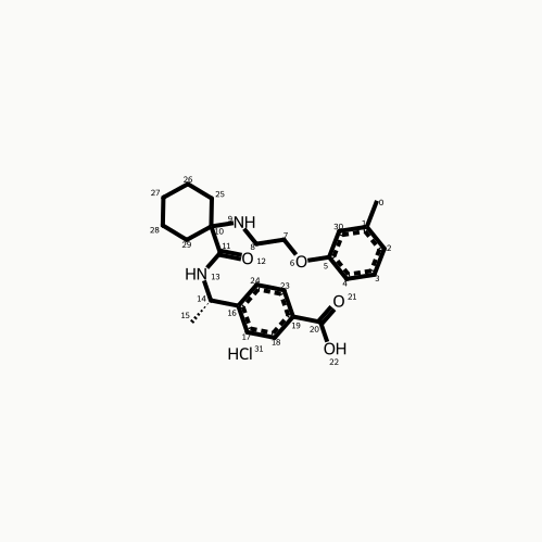 Cc1cccc(OCCNC2(C(=O)N[C@@H](C)c3ccc(C(=O)O)cc3)CCCCC2)c1.Cl